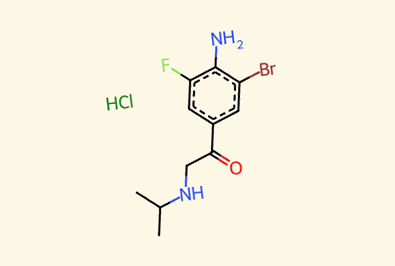 CC(C)NCC(=O)c1cc(F)c(N)c(Br)c1.Cl